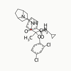 CC(C)(Oc1ccc(Cl)cc1Cl)C(=O)NC1CC2CCC(C1)N2c1ccc(C(=O)NC2CC2)cc1